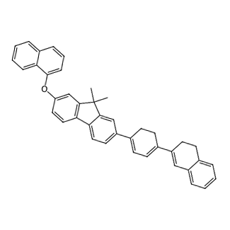 CC1(C)c2cc(Oc3cccc4ccccc34)ccc2-c2ccc(C3=CC=C(C4=Cc5ccccc5CC4)CC3)cc21